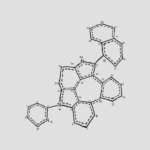 c1ccc(-n2c3cccc4c5ccccc5n5c(-c6cccc7ccccc67)nc6ccc2c(c43)c65)nc1